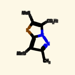 CCOC(=O)c1c(SC)sc2c(OC)c(C)nn12